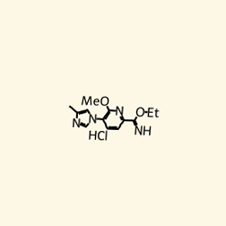 CCOC(=N)c1ccc(-n2cnc(C)c2)c(OC)n1.Cl